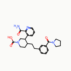 NC(=O)c1ncccc1C1CN(C(=O)O)CCC1CCc1cccc(C(=O)N2CCCC2)c1